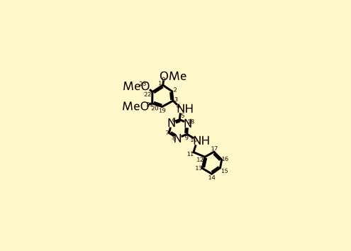 COc1cc(Nc2ncnc(NCc3ccccc3)n2)cc(OC)c1OC